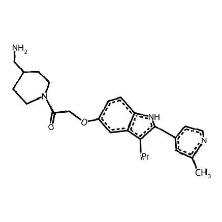 Cc1cc(-c2[nH]c3ccc(OCC(=O)N4CCC(CN)CC4)cc3c2C(C)C)ccn1